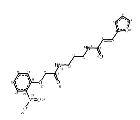 O=C(C=Cc1ccco1)NCCCNC(=O)COc1ccccc1[N+](=O)[O-]